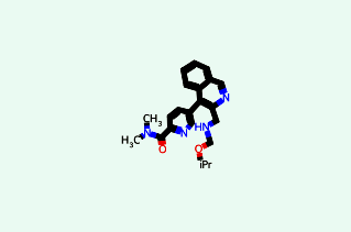 CC(C)OCNCc1ncc2ccccc2c1-c1ccc(C(=O)N(C)C)nc1